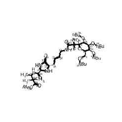 CCCCOC[C@H]1O[C@@](O)(C(F)(F)C(=O)NCCCC[C@@H]2N[C@@H](C(=O)NC(C)C(C)(C)C(=O)OC)NC2=O)[C@H](OCCCC)[C@@H](OCCCC)[C@H]1OCCCC